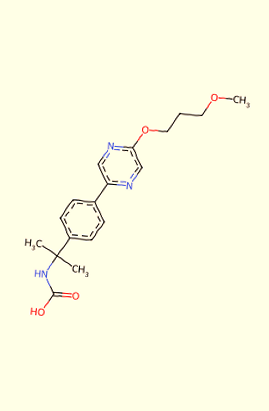 COCCCOc1cnc(-c2ccc(C(C)(C)NC(=O)O)cc2)cn1